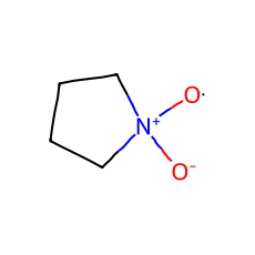 [O][N+]1([O-])CCCC1